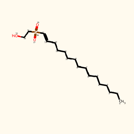 CCCCCCCCCCCCCC/C=C/S(=O)(=O)CCO